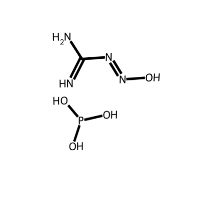 N=C(N)N=NO.OP(O)O